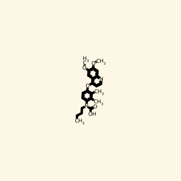 CCCCN(C(=O)O)c1ccc(Oc2ccnc3cc(OC)c(OC)cc23)c(C)c1C